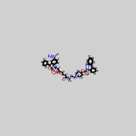 CNc1ccc(N(CCCCCC(=O)N(C)CCN2CCC(OC(=O)Nc3ccccc3-c3ccccc3)CC2)C(=O)O)c(Cc2ccccc2)c1